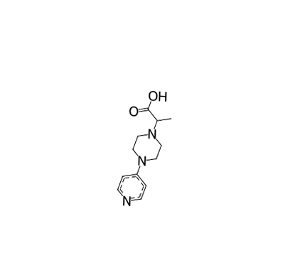 CC(C(=O)O)N1CCN(c2ccncc2)CC1